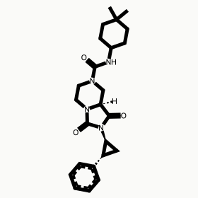 CC1(C)CCC(NC(=O)N2CCN3C(=O)N([C@H]4C[C@@H]4c4ccccc4)C(=O)[C@@H]3C2)CC1